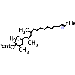 CCCCCC/C=C/CCCCCCCCC(C)CC(C)CC(C)CC(C)C(=O)OCCCCC